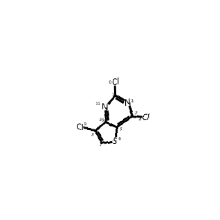 Clc1nc(Cl)c2scc(Cl)c2n1